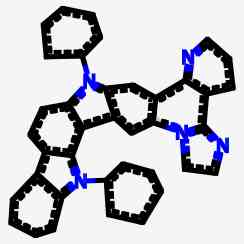 c1ccc(-n2c3cc4c5ncccc5c5nccn5c4cc3c3c2ccc2c4ccccc4n(-c4ccccc4)c23)cc1